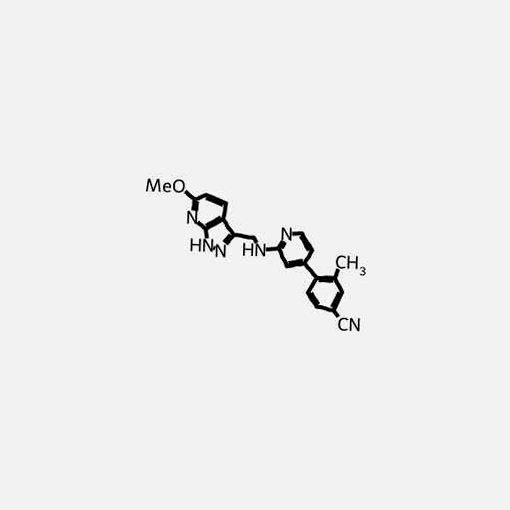 COc1ccc2c(CNc3cc(-c4ccc(C#N)cc4C)ccn3)n[nH]c2n1